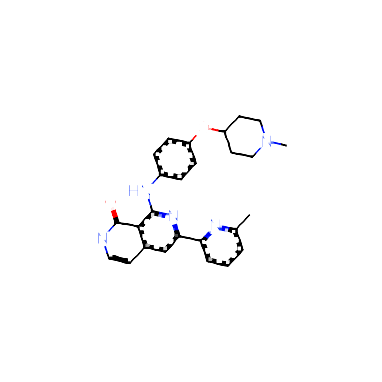 Cc1cccc(-c2cc3c(c(Nc4ccc(OC5CCN(C)CC5)cc4)n2)C(=O)[N]C=C3)n1